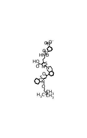 C[Si](C)(C)CCOCN1C(=CC(=O)c2cccc3c2CN(c2nc(C(=O)O)c(CCNS(=O)(=O)c4cccc([N+](=O)[O-])c4)s2)CC3)Sc2ccccc21